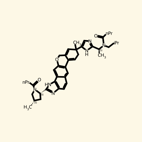 CCCC(=O)N(CC(C)C)[C@@H](C)c1ncc(C2(C)C=C3COc4cc5c(ccc6nc([C@@H]7C[C@H](C)CN7C(=O)CCC)[nH]c65)cc4C3=CC2)[nH]1